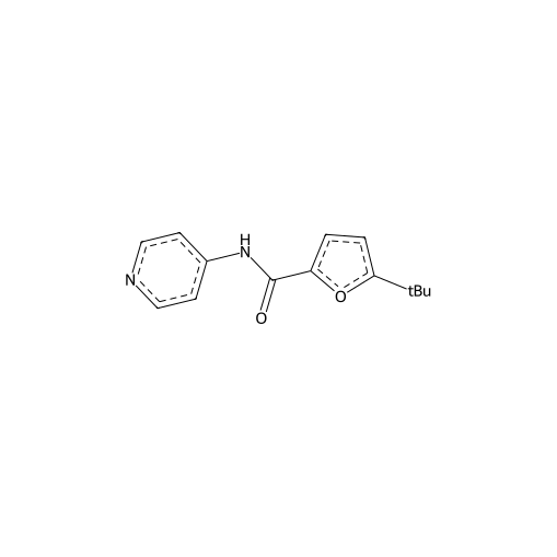 CC(C)(C)c1ccc(C(=O)Nc2ccncc2)o1